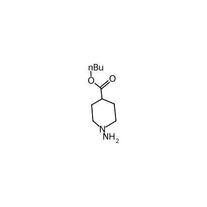 CCCCOC(=O)C1CCN(N)CC1